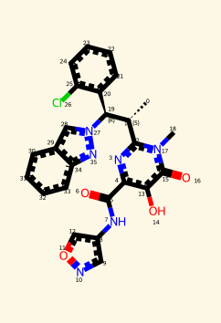 C[C@H](c1nc(C(=O)Nc2cnoc2)c(O)c(=O)n1C)[C@H](c1ccccc1Cl)n1cc2ccccc2n1